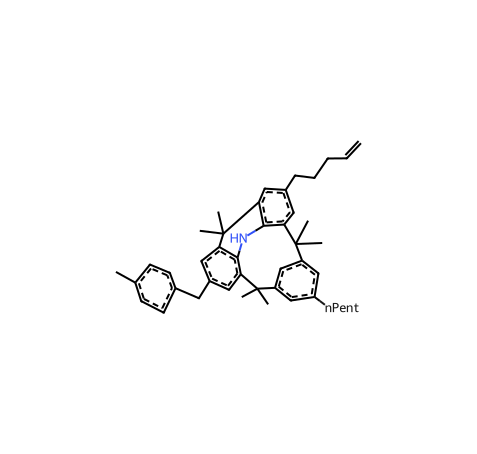 C=CCCCc1cc2c3c(c1)C(C)(C)c1cc(Cc4ccc(C)cc4)cc(c1N3)C(C)(C)c1cc(CCCCC)cc(c1)C2(C)C